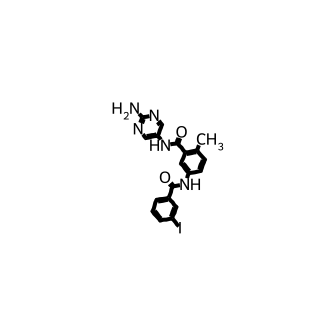 Cc1ccc(NC(=O)c2cccc(I)c2)cc1C(=O)Nc1cnc(N)nc1